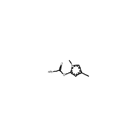 CCCC(=O)Oc1cc(C)cn1C